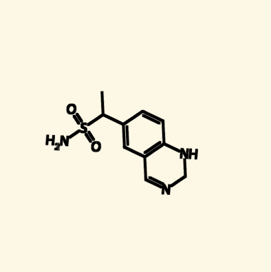 CC(c1ccc2c(c1)C=NCN2)S(N)(=O)=O